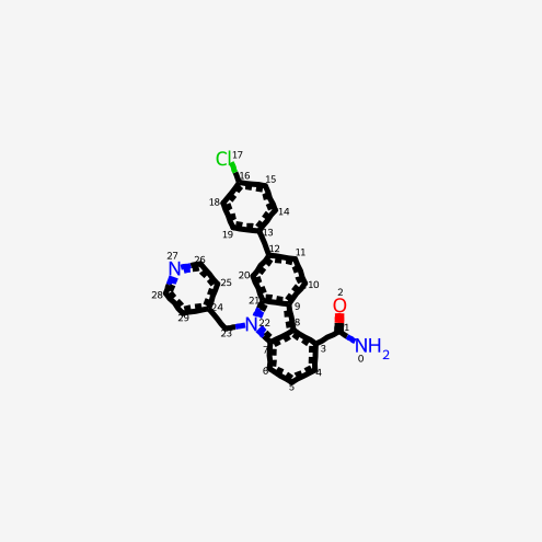 NC(=O)c1cccc2c1c1[c]cc(-c3ccc(Cl)cc3)cc1n2Cc1ccncc1